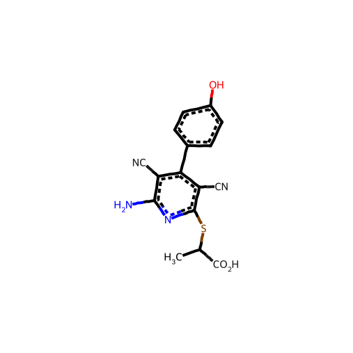 CC(Sc1nc(N)c(C#N)c(-c2ccc(O)cc2)c1C#N)C(=O)O